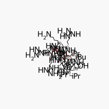 CC[C@@H](CC(C)C)C(=O)N[C@@H](CCCNC(=N)N)C(=O)C[C@@H](CCCCN)C(=O)N[C@@H](CCCNC(=N)N)C(=O)C[C@@H](CCCNC(=N)N)C(=O)N[C@@H](CCCNC(=N)N)C(=O)C[C@@H](CC(C)C)C(=O)N[C@@H](CC(C)C)C(=O)C[C@@H](CO)C(=O)N[C@H](C(=O)CC(C(N)=O)[C@@H](C)CC)[C@@H](C)CC